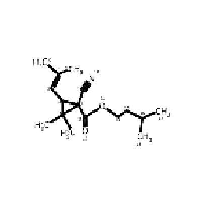 CC(C)=CC1C(C)(C)C1(C#N)C(=O)OCCC(C)C